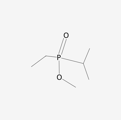 CCP(=O)(OC)C(C)C